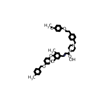 COc1ccc(OCCc2ccc(CN3CCN(C(=O)/C=C/c4cc(C)c(Oc5ccc(OCc6ccc(C)cc6)cn5)c(Cl)c4)CC3)cc2)cc1.Cl